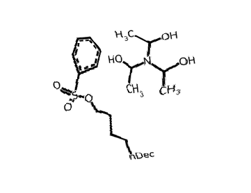 CC(O)N(C(C)O)C(C)O.CCCCCCCCCCCCCCOS(=O)(=O)c1ccccc1